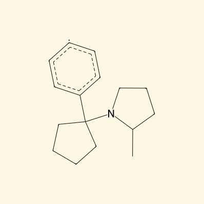 CC1CCCN1C1(c2cc[c]cc2)CCCC1